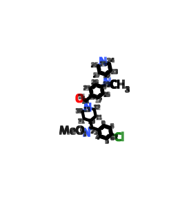 CON=C(c1ccc(Cl)cc1)C1CCN(C(=O)c2ccc(N(C)c3ccncc3)cc2)CC1